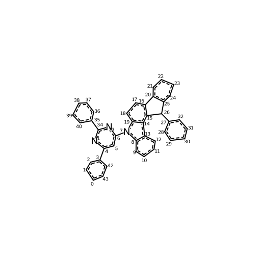 c1ccc(-c2cc(-n3c4ccccc4c4c5c(ccc43)-c3ccccc3C5c3ccccc3)nc(-c3ccccc3)n2)cc1